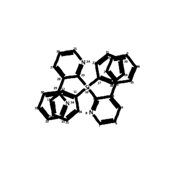 c1ccc(-c2cccnc2[Si](c2ccccc2)(c2ccccc2)c2ncccc2-c2ccccn2)cc1